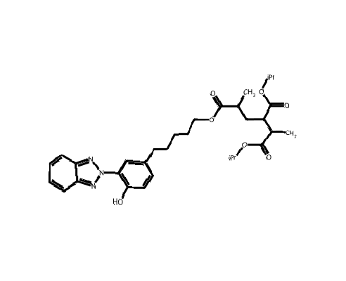 CC(C)OC(=O)C(C)C(CC(C)C(=O)OCCCCCc1ccc(O)c(-n2nc3ccccc3n2)c1)C(=O)OC(C)C